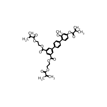 C=C(C)C(=O)OCCOC(=O)c1cc(C(=O)OCCOC(=O)C(=C)C)cc(-c2ccc(-c3ccc(OC(=O)C(=C)C)cc3OC)cc2)c1